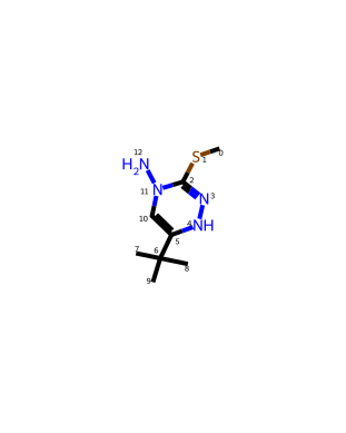 CSC1=NNC(C(C)(C)C)=CN1N